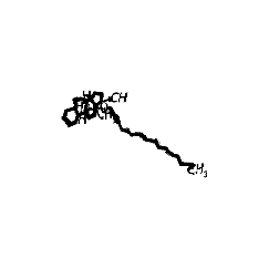 C#C[C@]1(OCC#CCCCCCCCCCCCCC)CC[C@H]2[C@@H]3CCC4CC=CC[C@@H]4[C@H]3CC[C@@]21C